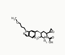 COCCCn1ncc2ccc(C[C@@H](CC(NC(=O)O)C3CO3)C(C)C)cc21